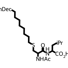 CCCCCCCCCCCCCCCCCCSCC(NC(C)=O)C(=O)NC(CC(C)C)C(=O)O